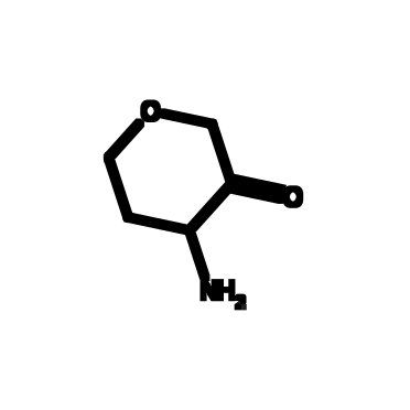 NC1CCOCC1=O